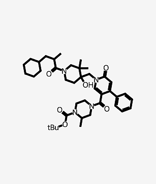 CC(CC1CCCCC1)C(=O)N1CCC(O)(Cn2cc(C(=O)N3CCN(C(=O)OC(C)(C)C)C(C)C3)c(-c3ccccc3)cc2=O)C(C)(C)C1